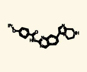 CC(C)Oc1ccc(C(=O)Nc2ncc3ccc(-c4cnc5n4CCNC5)cc3n2)cc1